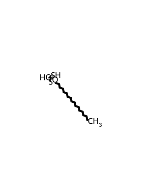 CCCCCCCCCCCCCCCCCCOP(O)(=S)S